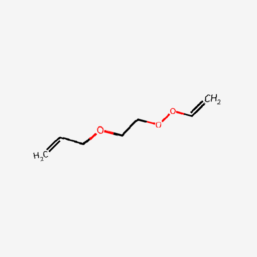 C=CCOCCOOC=C